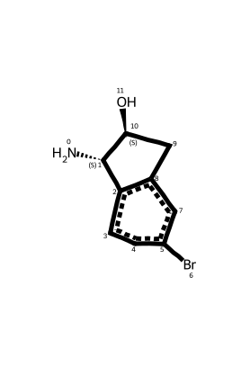 N[C@H]1c2ccc(Br)cc2C[C@@H]1O